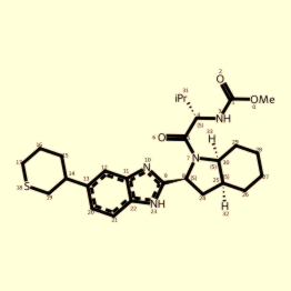 COC(=O)N[C@H](C(=O)N1[C@H](c2nc3cc(C4CCCSC4)ccc3[nH]2)C[C@@H]2CCCC[C@@H]21)C(C)C